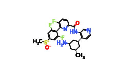 C[C@@H]1C[C@@H](N)C[C@H](c2ccncc2NC(=O)c2ccc(F)c(-c3c(F)cc([S+](C)[O-])cc3F)n2)C1